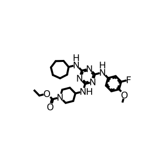 CCOC(=O)N1CCC(Nc2nc(Nc3ccc(OC)c(F)c3)nc(NC3CCCCCC3)n2)CC1